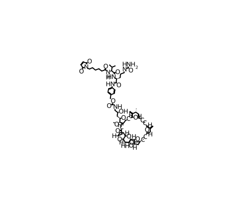 C=C1C[C@@H]2CC[C@@]34C[C@H]5O[C@@H]6C(O[C@H]7CC[C@H](CC(=O)C[C@H]8C(C[C@H]9O[C@@H](CC[C@@H]1O2)C[C@@H](C)C9=C)O[C@H](C[C@H](O)CNC(=O)OCc1ccc(NC(=O)[C@H](CCCNC(N)=O)NC(=O)[C@@H](NC(=O)CCCCCN2C(=O)C=CC2=O)C(C)C)cc1)[C@@H]8OC)O[C@@H]7[C@@H]6O3)[C@@H]5O4